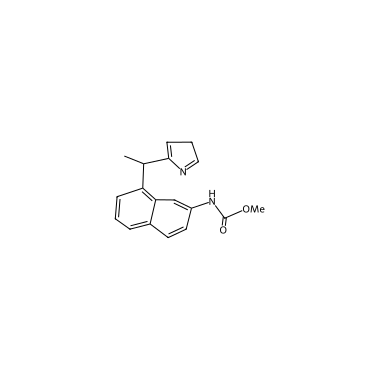 COC(=O)Nc1ccc2cccc(C(C)C3=CCC=N3)c2c1